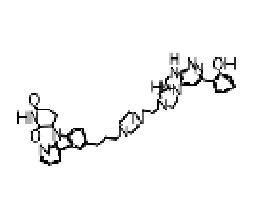 O=C1CCC(n2c3ccc(CCCN4CCN(CCN5CCN6c7cc(-c8ccccc8O)nnc7NC[C@H]6C5)CC4)cc3c3cccnc32)C(=O)N1